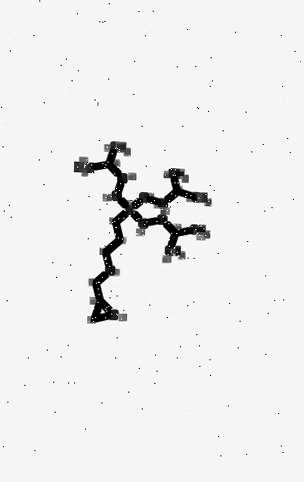 CC(C)OO[Si](CCCOCC1CO1)(OOC(C)C)OOC(C)C